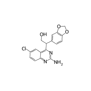 Nc1nc(C(CO)c2ccc3c(c2)OCO3)c2cc(Cl)ccc2n1